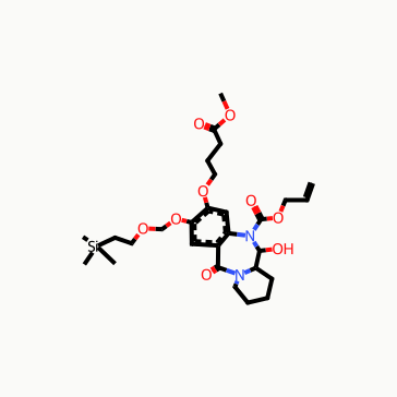 C=CCOC(=O)N1c2cc(OCCCC(=O)OC)c(OCOCC[Si](C)(C)C)cc2C(=O)N2CCCCC2C1O